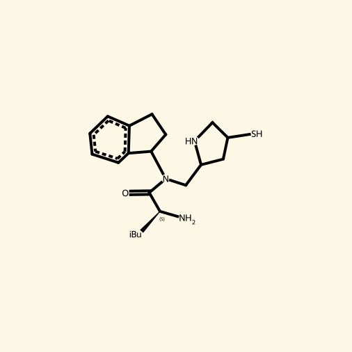 CCC(C)[C@H](N)C(=O)N(CC1CC(S)CN1)C1CCc2ccccc21